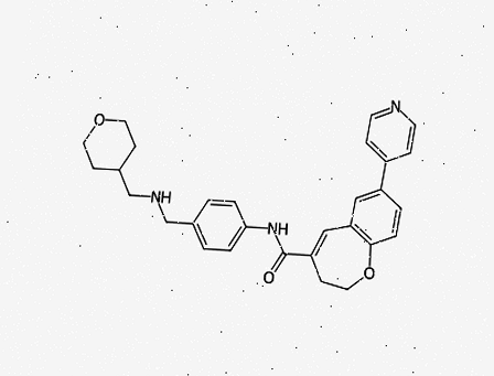 O=C(Nc1ccc(CNCC2CCOCC2)cc1)C1=Cc2cc(-c3ccncc3)ccc2OCC1